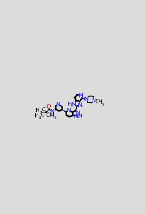 CN1CCN(c2nccc3[nH]c(-c4n[nH]c5ccc(-c6cncc(NC(=O)C(C)(C)C)c6)nc45)nc23)CC1